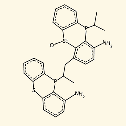 CC(C)P1c2ccccc2[S+]([O-])c2c(CC(C)P3c4ccccc4Sc4cccc(N)c43)ccc(N)c21